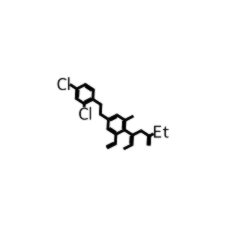 C=Cc1cc(CCc2ccc(Cl)cc2Cl)cc(C)c1/C(=C\C)CC(=C)CC